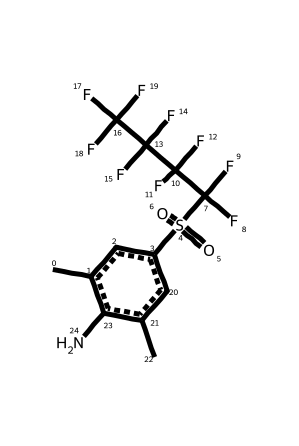 Cc1cc(S(=O)(=O)C(F)(F)C(F)(F)C(F)(F)C(F)(F)F)cc(C)c1N